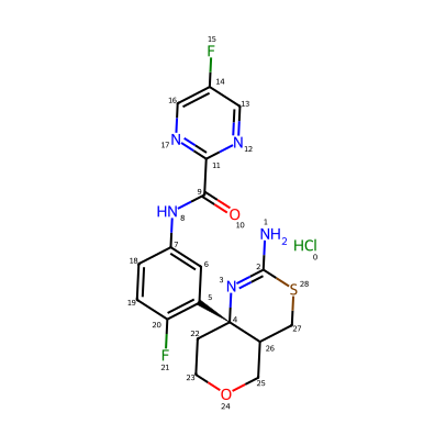 Cl.NC1=N[C@@]2(c3cc(NC(=O)c4ncc(F)cn4)ccc3F)CCOCC2CS1